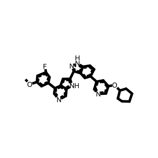 COc1cc(F)cc(-c2cncc3[nH]c(-c4n[nH]c5ccc(-c6cncc(OC7CCCCC7)c6)cc45)cc23)c1